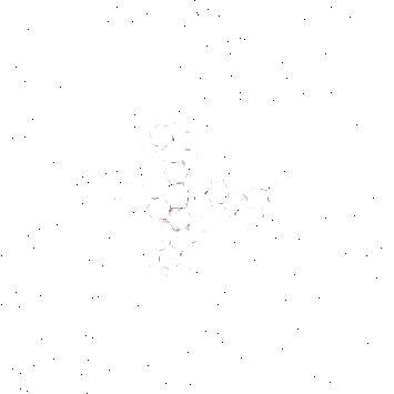 Cc1ccc2c(c1-c1cc3c(cc1N(c1ccc4c(c1)C(C)(C)c1ccccc1-4)c1ccc4c(c1)C(C)(C)c1ccccc1-4)C(C)(C)c1ccccc1-3)CCCC2